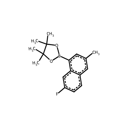 Cc1cc(B2OC(C)(C)C(C)(C)O2)c2cc(F)ccc2c1